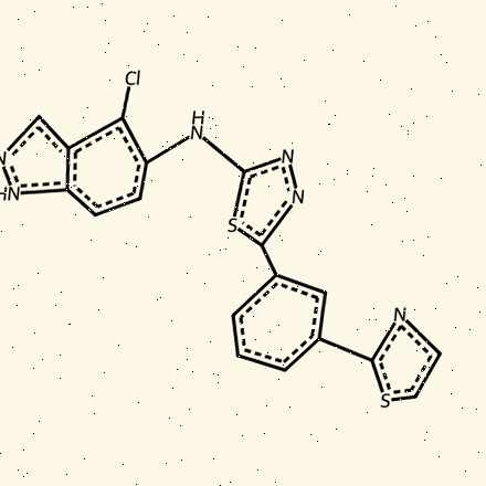 Clc1c(Nc2nnc(-c3cccc(-c4nccs4)c3)s2)ccc2[nH]ncc12